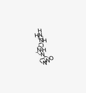 C[C@@H]1CN(c2cc(=O)n(C)c3ncccc23)C[C@@H]2c3ccc(N4C[C@@H]5C[C@H]4CN5)cc3CN12